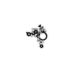 COc1ccc2c(O[C@@H]3C[C@H]4C(=O)N[C@]5(C(=O)NS(=O)(=O)C6CC6)C[C@H]5/C=C\CCCCC[C@H](NC(=O)OC5CCCC5)C(=O)N4C3)c3c(nc2c1)C1C=C(C)C=CC1O3